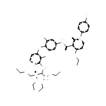 CCOCP(=O)(OCC)C(Nc1nccc(Oc2ccc(NC(=O)c3c(OCC)ccn(-c4ccc(F)cc4)c3=O)cc2F)c1Cl)[PH](O)(OCC)OCC